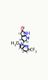 Cc1cc2ccc(C(F)(F)F)nc2n1-c1cnc2c(c1)CC(=O)N2